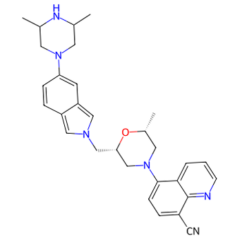 CC1CN(c2ccc3cn(C[C@H]4CN(c5ccc(C#N)c6ncccc56)C[C@@H](C)O4)cc3c2)CC(C)N1